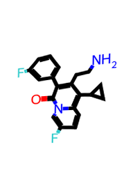 NCCc1c(-c2cccc(F)c2)c(=O)n2cc(F)ccc2c1C1CC1